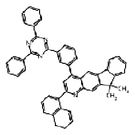 CC1(C)c2ccccc2-c2cc3c(-c4cccc(-c5nc(-c6ccccc6)nc(-c6ccccc6)n5)c4)cc(-c4cccc5c4C=CCC5)nc3cc21